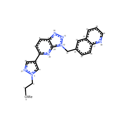 COCCn1cc(-c2ccc3nnn(Cc4ccc5ncccc5c4)c3n2)cn1